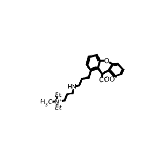 CC[N+](C)(CC)CCCNCCCc1cccc2c1C(C(=O)[O-])c1ccccc1O2